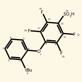 CC(C)(C)c1ccccc1Oc1c(F)c(F)c(S(=O)(=O)O)c(F)c1F